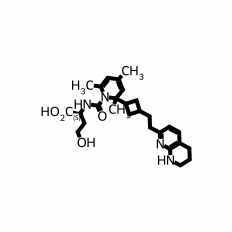 CC1=CC(C)(C2CC(CCc3ccc4c(n3)NCCC4)C2)N(C(=O)N[C@@H](CCO)C(=O)O)C(C)=C1